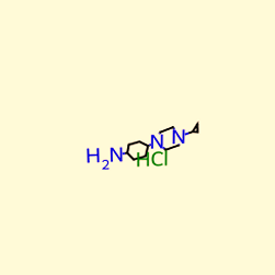 Cl.NC1CCC(N2CCN(C3CC3)CC2)CC1